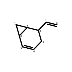 C=CC1CC=CC2CC12